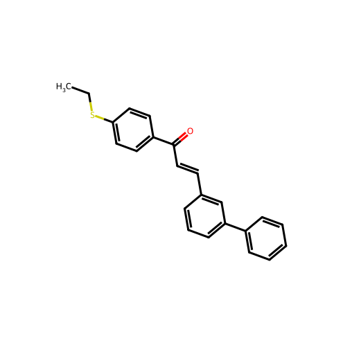 CCSc1ccc(C(=O)C=Cc2cccc(-c3ccccc3)c2)cc1